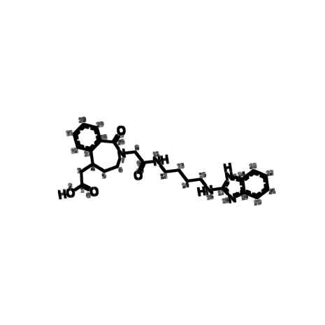 O=C(O)CC1CCN(CC(=O)NCCCCNc2nc3ccccc3[nH]2)C(=O)c2ccccc21